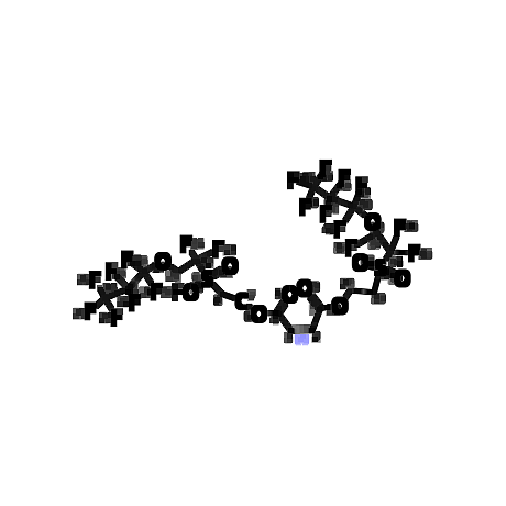 O=C(/C=C\C(=O)OCCS(=O)(=O)C(F)(F)C(F)OC(F)(F)C(F)(F)C(F)(F)F)OCCS(=O)(=O)C(F)(F)C(F)OC(F)(F)C(F)(F)C(F)(F)F